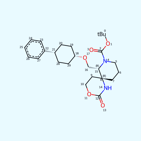 CC(C)(C)OC(=O)N1CCC[C@@]2(CCOC(=O)N2)[C@@H]1CO[C@H]1CC[C@@H](c2ccccc2)CC1